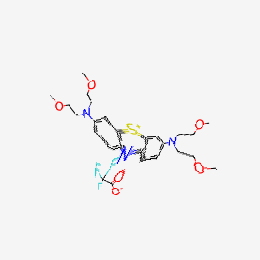 COCCN(CCOC)c1ccc2nc3ccc(N(CCOC)CCOC)cc3[s+]c2c1.O=C([O-])C(F)(F)F